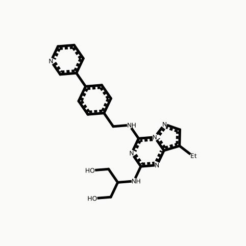 CCc1cnn2c(NCc3ccc(-c4cccnc4)cc3)nc(NC(CO)CO)nc12